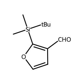 CC(C)(C)[Si](C)(C)c1occc1C=O